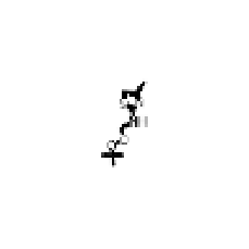 Cc1csc(NCOOC(C)(C)C)n1